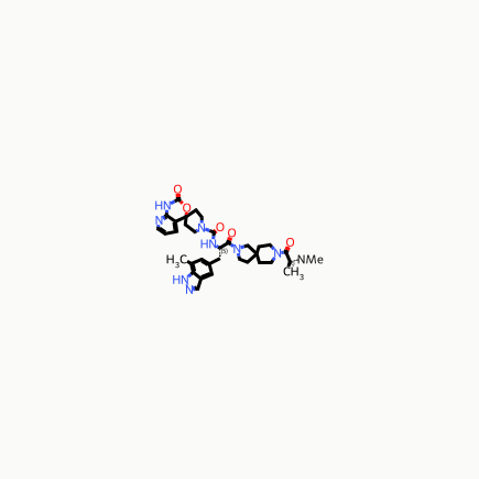 CN[C@H](C)C(=O)N1CCC2(CCN(C(=O)[C@H](Cc3cc(C)c4[nH]ncc4c3)NC(=O)N3CCC4(CC3)OC(=O)Nc3ncccc34)C2)CC1